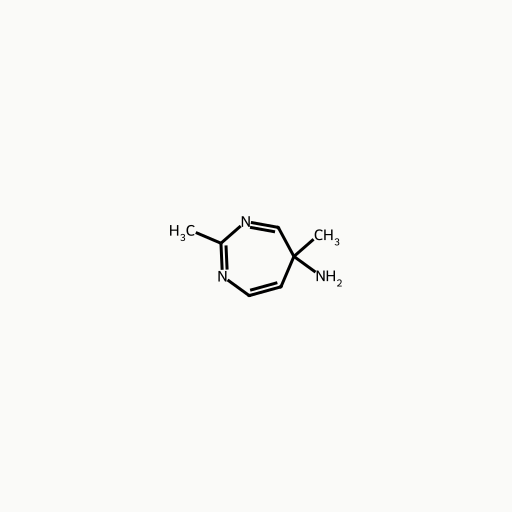 CC1=NC=CC(C)(N)C=N1